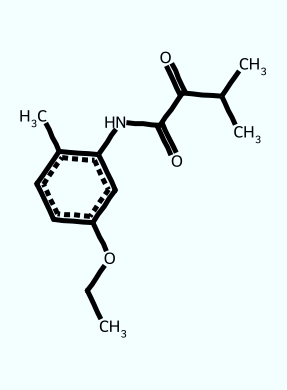 CCOc1ccc(C)c(NC(=O)C(=O)C(C)C)c1